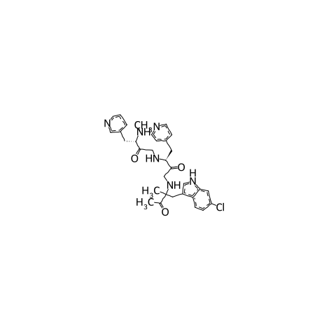 CN[C@@H](Cc1cccnc1)C(=O)CN[C@@H](Cc1ccncc1)C(=O)CNC(C)(Cc1c[nH]c2cc(Cl)ccc12)C(C)=O